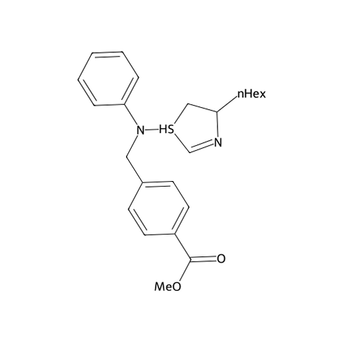 CCCCCCC1C[SH](N(Cc2ccc(C(=O)OC)cc2)c2ccccc2)C=N1